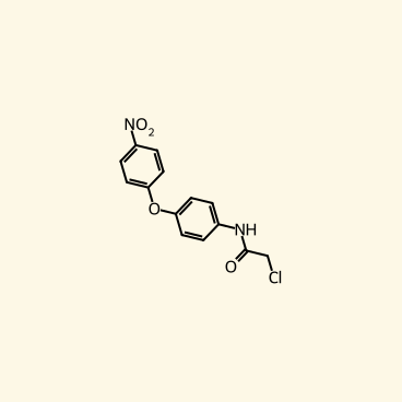 O=C(CCl)Nc1ccc(Oc2ccc([N+](=O)[O-])cc2)cc1